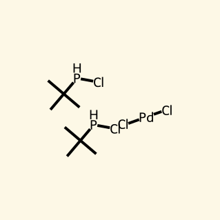 CC(C)(C)PCl.CC(C)(C)PCl.[Cl][Pd][Cl]